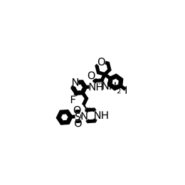 N[C@H](C(=O)Nc1cncc(F)c1CC[C@H]1CNCCN1S(=O)(=O)c1ccccc1)C1(c2ccc(I)cc2)CCOCC1